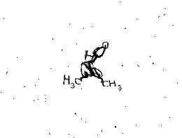 CCCCO[SiH](CCC1CCC2OC2C1)OCCCC